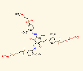 COc1ccc(S(=O)(=O)CCOSOOO)cc1/N=N/c1c(O)c(/N=N/c2ccc(S(=O)(=O)CCOSOOO)cc2S(=O)(=O)O)c(O)c(/N=N/c2ccc(S(=O)(=O)CCOS(=O)(=O)O)cc2S(=O)(=O)O)c1O